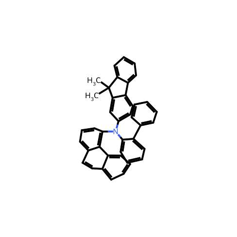 CC1(C)c2ccccc2-c2ccc(N(c3ccccc3-c3ccccc3)c3cccc4ccc5ccccc5c34)cc21